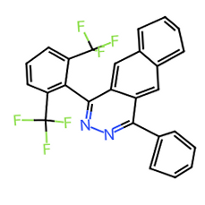 FC(F)(F)c1cccc(C(F)(F)F)c1-c1nnc(-c2ccccc2)c2cc3ccccc3cc12